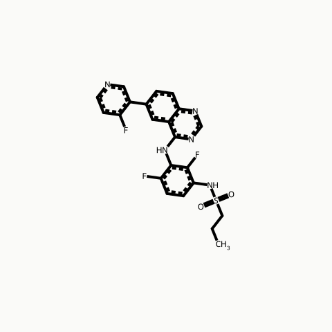 CCCS(=O)(=O)Nc1ccc(F)c(Nc2ncnc3ccc(-c4cnccc4F)cc23)c1F